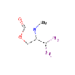 CC(C)(C)N1C(=O)OCC1C(P)P